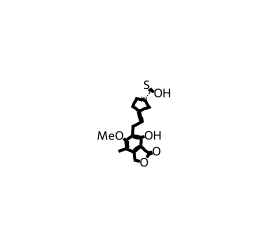 COc1c(C)c2c(c(O)c1CC=C1CC[C@H](C(O)=S)C1)C(=O)OC2